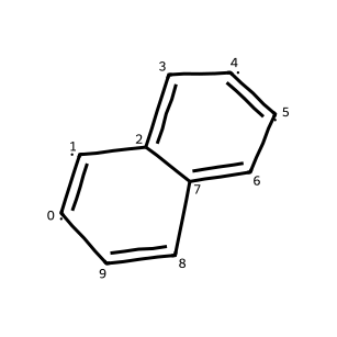 [c]1[c]c2c[c][c]cc2cc1